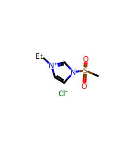 CC[n+]1ccn(S(C)(=O)=O)c1.[Cl-]